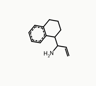 C=CC(N)C1CCCc2ccccc21